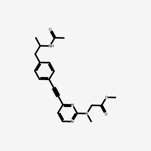 COC(=O)CN(C)c1nccc(C#Cc2ccc(CC(C)NC(C)=O)cc2)n1